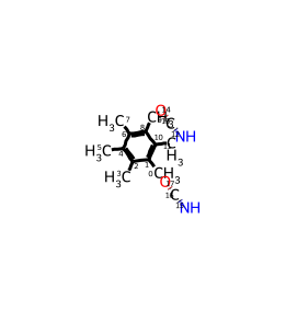 Cc1c(C)c(C)c(C)c(C)c1C.N=C=O.N=C=O